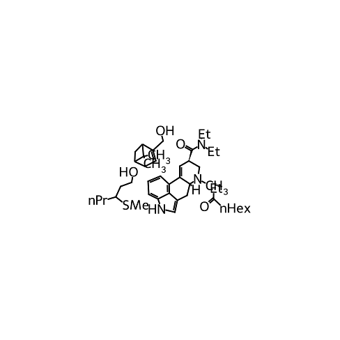 CC1(C)C2CC=C(CO)C1C2.CCCC(CCO)SC.CCCCCCC(=O)CC.CCN(CC)C(=O)[C@@H]1C=C2c3cccc4[nH]cc(c34)C[C@H]2N(C)C1